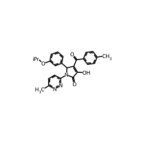 Cc1ccc(C(=O)C2=C(O)C(=O)N(c3ccc(C)nn3)C2c2cccc(OC(C)C)c2)cc1